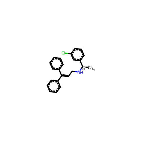 C[C@@H](NCC=C(c1ccccc1)c1ccccc1)c1cccc(Cl)c1